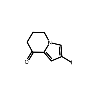 O=C1CCCn2cc(I)cc21